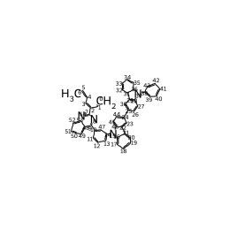 C=C/C(=C\C=C/C)c1nc(-c2cccc(-n3c4ccccc4c4cc(-c5ccc6c(c5)C5C=CC=CC5N6c5ccccc5)ccc43)c2)c2ccccc2n1